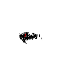 CC1(C)c2ccccc2N(c2ccc(-c3nc4cc5c(cc4o3)nc(-c3ccccc3)n5-c3ccccc3)cc2)c2ccccc21